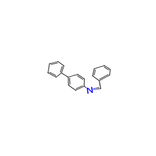 C(=N/c1ccc(-c2ccccc2)cc1)/c1ccccc1